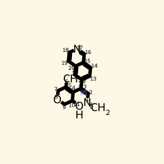 C=N/C=C(\C1=C(C)COCC1O)c1ccc2cnccc2c1